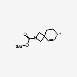 CC(C)(C)OC(=O)N1CC2(C=CNCC2)C1